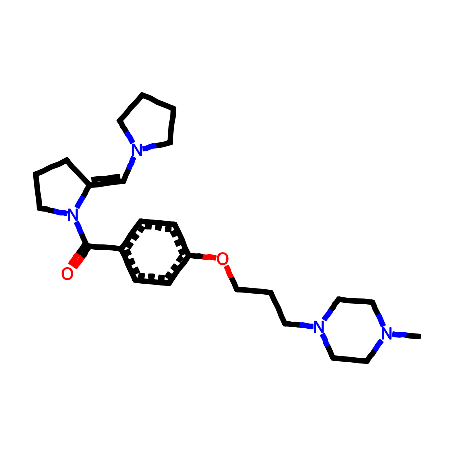 CN1CCN(CCCOc2ccc(C(=O)N3CCC/C3=C\N3CCCC3)cc2)CC1